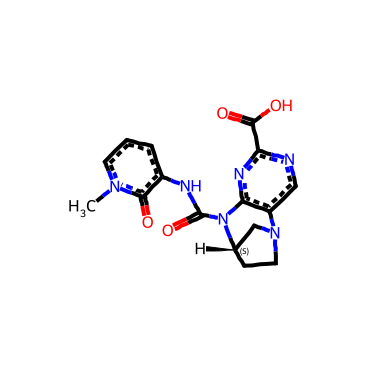 Cn1cccc(NC(=O)N2c3nc(C(=O)O)ncc3N3CC[C@H]2C3)c1=O